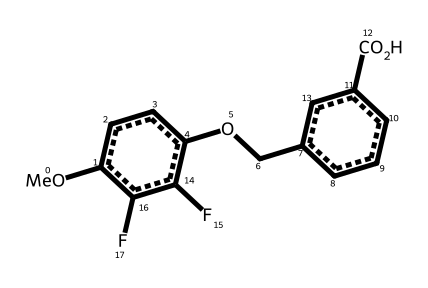 COc1ccc(OCc2cccc(C(=O)O)c2)c(F)c1F